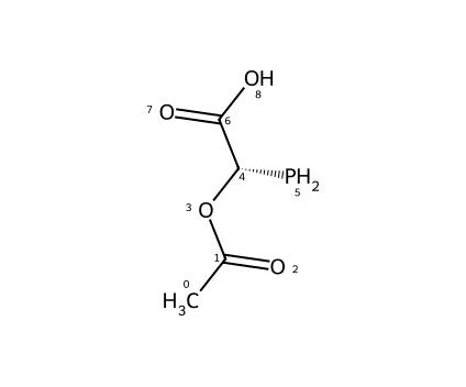 CC(=O)O[C@@H](P)C(=O)O